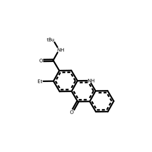 CCc1cc2c(=O)c3ccccc3[nH]c2cc1C(=O)NC(C)(C)C